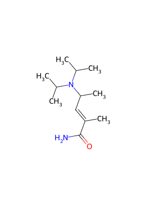 CC(=CC(C)N(C(C)C)C(C)C)C(N)=O